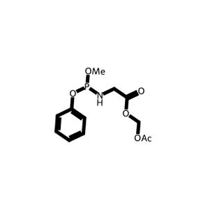 COP(NCC(=O)OCOC(C)=O)Oc1ccccc1